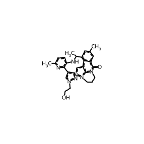 Cc1cc(C(C)Nc2ccc(C)nc2-c2cnn(CCO)c2)c2c(c1)c(=O)n1c3c2cnn3CCC1